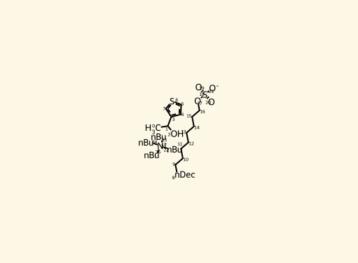 CC(O)c1ccsc1.CCCCCCCCCCCCCCCCCCOS(=O)(=O)[O-].CCCC[N+](CCCC)(CCCC)CCCC